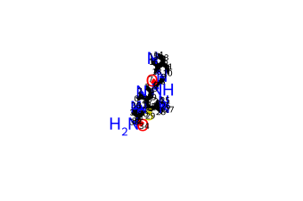 Cc1ncc(NC(=O)CN2CCc3ccncc3C2)cc1-c1c(-c2cnn(C)c2)sc2c(C(N)=O)cnn12